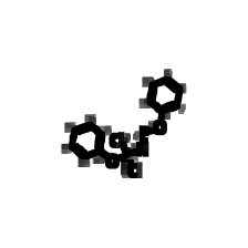 Cl[PH](Cl)(N=POc1ccccc1)Oc1ccccc1